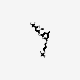 Cc1cc(OCC=CSC(F)(F)F)nc(Oc2cc(C(F)(F)F)nn2C)c1